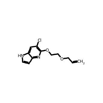 C=CCOCCOc1nc2cc[nH]c2cc1Cl